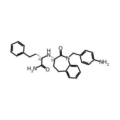 NC(=O)[C@H](CCc1ccccc1)N[C@H]1CCc2ccccc2N(Cc2ccc(N)cc2)C1=O